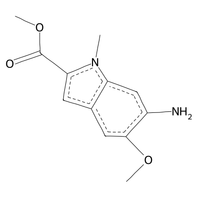 COC(=O)c1cc2cc(OC)c(N)cc2n1C